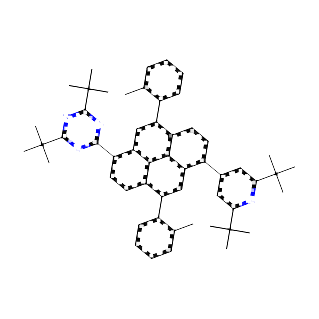 Cc1ccccc1-c1cc2c(-c3nc(C(C)(C)C)nc(C(C)(C)C)n3)ccc3c(-c4ccccc4C)cc4c(-c5cc(C(C)(C)C)nc(C(C)(C)C)c5)ccc1c4c23